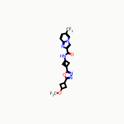 O=C(NC12CC(c3nnc(C4CC(OC(F)(F)F)C4)o3)(C1)C2)c1cn2cc(C(F)(F)F)ccc2n1